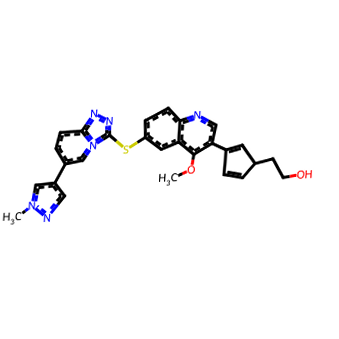 COc1c(C2=CC(CCO)C=C2)cnc2ccc(Sc3nnc4ccc(-c5cnn(C)c5)cn34)cc12